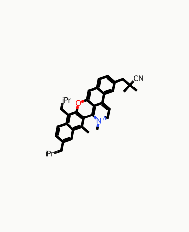 Cc1c2c(c(CC(C)C)c3ccc(CC(C)C)cc13)Oc1cc3ccc(CC(C)(C)C#N)cc3c3cc[n+](C)c-2c13